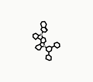 C1=C2CCCCC2CC(N2C3CCCCC3C3C4C5CCCCC5N(C5CC(C6CCCCC6)CC(C6CCCCC6)C5)C4CCC32)C1